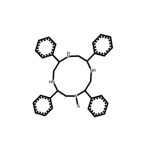 [Ti][N]1CC(c2ccccc2)NCC(c2ccccc2)NCC(c2ccccc2)NCC1c1ccccc1